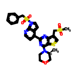 C[C@@H]1COCCN1c1nc(-c2ccnc3c2ccn3S(=O)(=O)Cc2ccccc2)nc2c(CS(C)(=O)=O)csc12